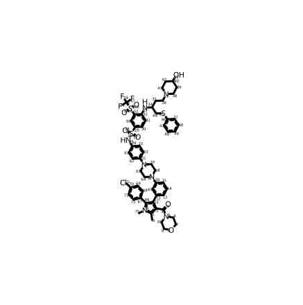 Cc1c(C(=O)N2CCOCC2)c(-c2cccc(N3CCN(c4ccc(NS(=O)(=O)c5ccc(NC(CCN6CCC(O)CC6)CSc6ccccc6)c(S(=O)(=O)C(F)(F)F)c5)cc4)CC3)c2)c(-c2ccc(Cl)cc2)n1C